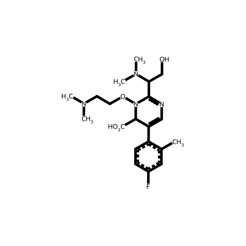 Cc1cc(F)ccc1C1=CN=C(C(CO)N(C)C)N(OCCN(C)C)C1C(=O)O